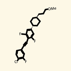 COCCC[C@H]1CC[C@H](c2cc(F)c(C#Cc3ccc(Cl)c(F)c3)c(F)c2)CC1